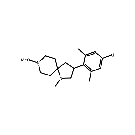 CON1CCC2(CC1)CC(c1c(C)cc(Cl)cc1C)CN2C